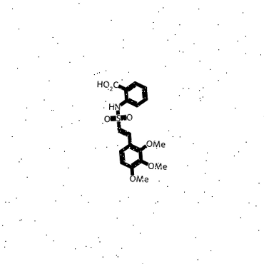 COc1ccc(/C=C/S(=O)(=O)Nc2ccccc2C(=O)O)c(OC)c1OC